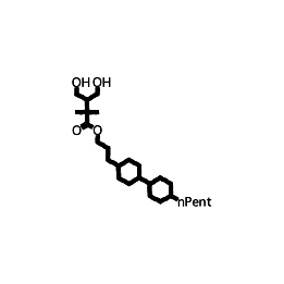 CCCCCC1CCC(C2CCC(CCCOC(=O)C(C)(C)C(CO)CO)CC2)CC1